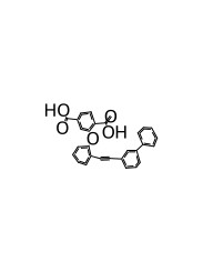 O=C(O)c1ccc(C(=O)O)c(Oc2ccccc2C#Cc2cccc(-c3ccccc3)c2)c1